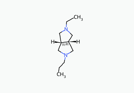 CCCN1C[C@H]2CN(CC)C[C@H]2C1